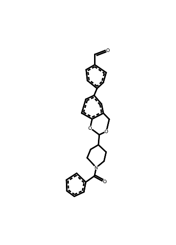 O=Cc1ccc(-c2ccc3c(c2)COC(C2CCN(C(=O)c4ccccc4)CC2)O3)cc1